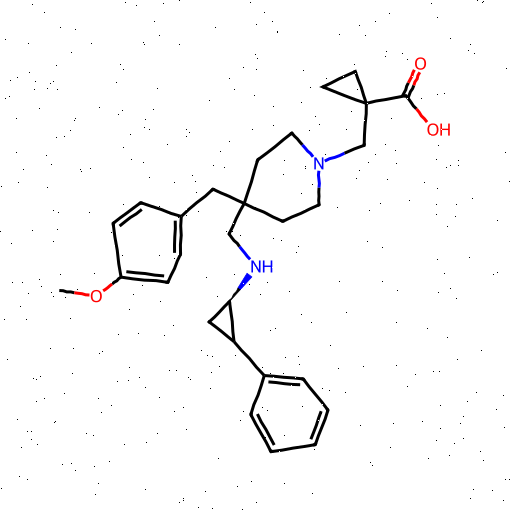 COc1ccc(CC2(CN[C@@H]3CC3c3ccccc3)CCN(CC3(C(=O)O)CC3)CC2)cc1